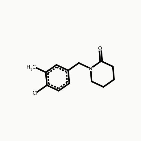 Cc1cc(CN2CCCCC2=O)ccc1Cl